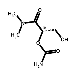 CN(C)C(=O)[C@H](CO)OC(N)=O